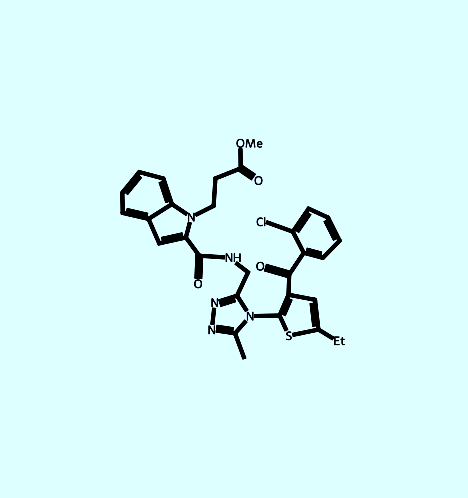 CCc1cc(C(=O)c2ccccc2Cl)c(-n2c(C)nnc2CNC(=O)c2cc3ccccc3n2CCC(=O)OC)s1